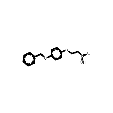 CC(=O)N(O)CCOc1ccc(OCc2ccccc2)cc1